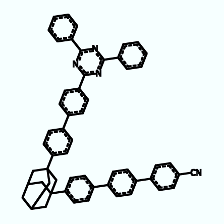 N#Cc1ccc(-c2ccc(-c3ccc(C45CC6CC(C4)CC(c4ccc(-c7ccc(-c8nc(-c9ccccc9)nc(-c9ccccc9)n8)cc7)cc4)(C6)C5)cc3)cc2)cc1